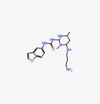 CC1CC(NCCCN)N(C)C(NC(=O)Nc2ccc3occc3c2)N1